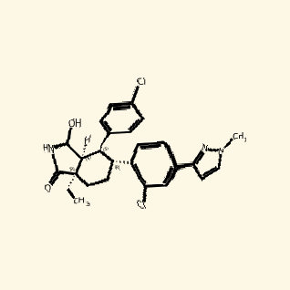 CC[C@@]12CC[C@@H](c3ccc(-c4ccn(C)n4)cc3Cl)[C@H](c3ccc(Cl)cc3)[C@@H]1C(O)NC2=O